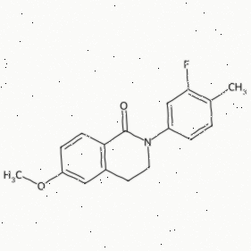 COc1ccc2c(c1)CCN(c1ccc(C)c(F)c1)C2=O